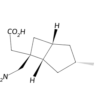 C[C@H]1C[C@H]2C[C@@](CN)(CC(=O)O)[C@H]2C1